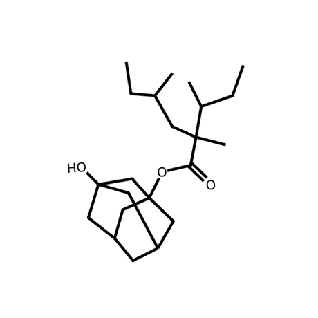 CCC(C)CC(C)(C(=O)OC12CC3CC(CC(O)(C3)C1)C2)C(C)CC